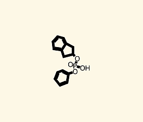 O=P(O)(Oc1ccccc1)OC1Cc2ccccc2C1